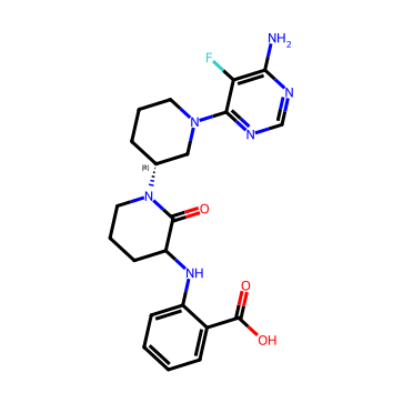 Nc1ncnc(N2CCC[C@@H](N3CCCC(Nc4ccccc4C(=O)O)C3=O)C2)c1F